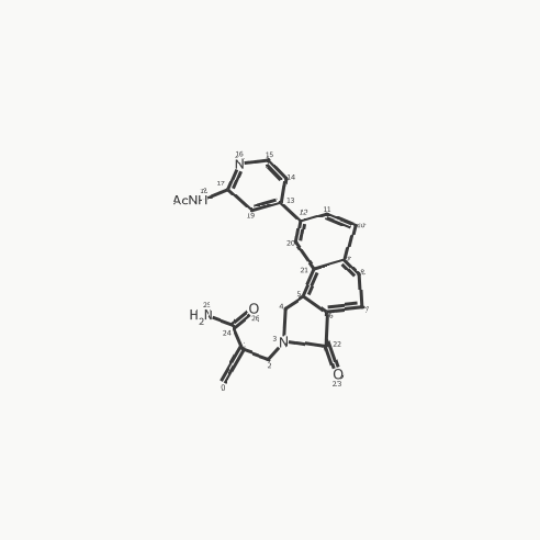 C=C(CN1Cc2c(ccc3ccc(-c4ccnc(NC(C)=O)c4)cc23)C1=O)C(N)=O